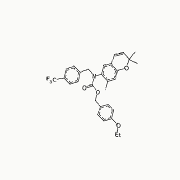 CCOc1ccc(COC(=O)N(Cc2ccc(C(F)(F)F)cc2)c2cc3c(cc2C)OC(C)(C)C=C3)cc1